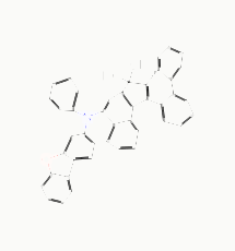 CC1(C)c2cc(N(c3ccccc3)c3ccc4c(c3)oc3ccccc34)c3ccccc3c2-c2c1c1ccccc1c1ccccc21